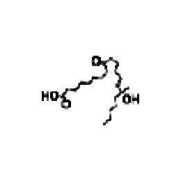 CCCCCC(C)(O)C=CC1CCC(=O)C1CCC=CCCC(=O)O